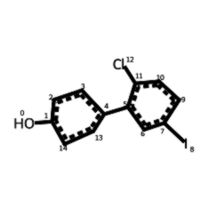 Oc1ccc(-c2cc(I)ccc2Cl)cc1